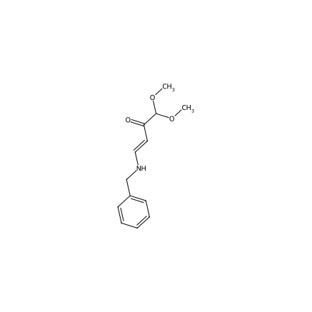 COC(OC)C(=O)C=CNCc1ccccc1